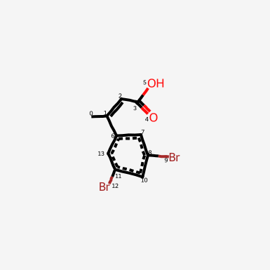 C/C(=C/C(=O)O)c1cc(Br)cc(Br)c1